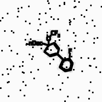 CCCCCCCCCCC1(OC(F)(F)F)C=CC(c2ccccc2F)=CC1